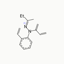 C=CC(=C)N(/N=C(\C)CC)c1ccccc1C=C